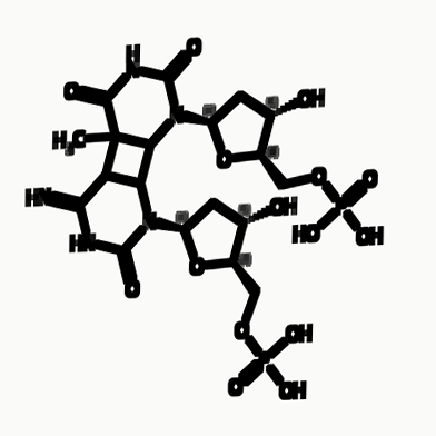 CC12C(=O)NC(=O)N([C@H]3C[C@H](O)[C@@H](COP(=O)(O)O)O3)C1C1C2C(=N)NC(=O)N1[C@H]1C[C@H](O)[C@@H](COP(=O)(O)O)O1